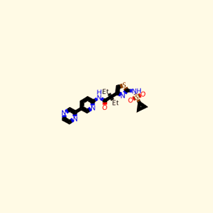 CCC(CC)(C(=O)Nc1ccc(-c2cnccn2)cn1)c1csc(NS(=O)(=O)C2CC2)n1